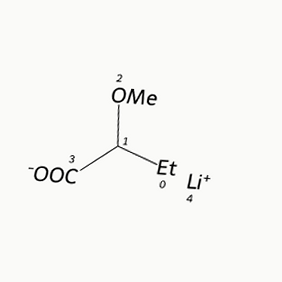 CCC(OC)C(=O)[O-].[Li+]